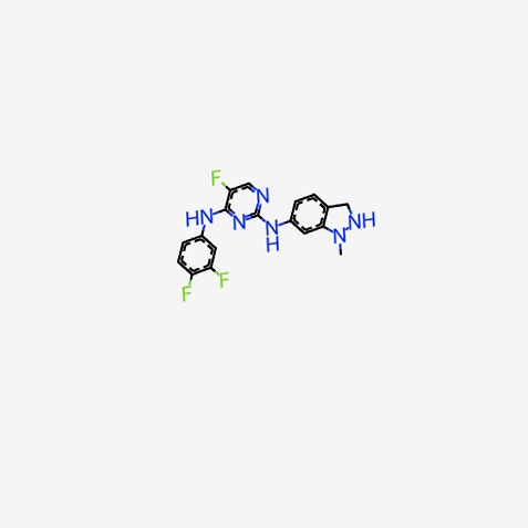 CN1NCc2ccc(Nc3ncc(F)c(Nc4ccc(F)c(F)c4)n3)cc21